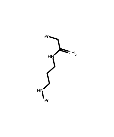 C=C(CC(C)C)NCCCNC(C)C